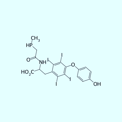 CPCC(=O)NC(Cc1c(I)c(I)c(Oc2ccc(O)cc2)c(I)c1I)C(=O)O